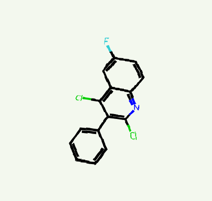 Fc1ccc2nc(Cl)c(-c3ccccc3)c(Cl)c2c1